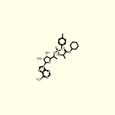 Cc1ccc(OP(=O)(NC(C)C(=O)OC2CCCCC2)OC(C)C2OC(n3cnc4c(N)ncnc43)[C@H](O)[C@@H]2O)cc1